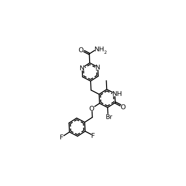 Cc1[nH]c(=O)c(Br)c(OCc2ccc(F)cc2F)c1Cc1cnc(C(N)=O)nc1